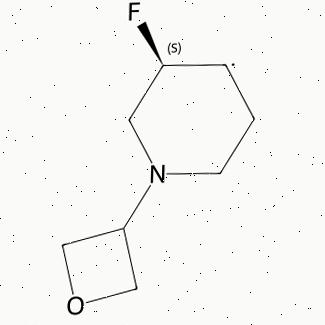 F[C@H]1[CH]CCN(C2COC2)C1